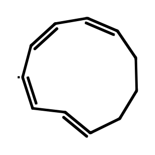 [C]1=C\C=C\CCC/C=C\C=C/1